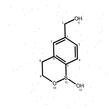 OCc1ccc2c(c1)CCOB2O